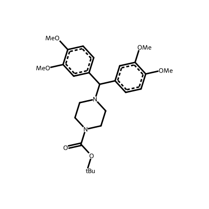 COc1ccc(C(c2ccc(OC)c(OC)c2)N2CCN(C(=O)OC(C)(C)C)CC2)cc1OC